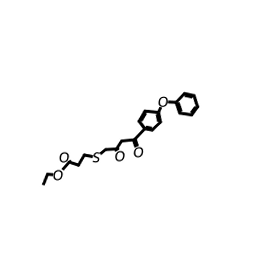 CCOC(=O)CCSCC(=O)CC(=O)c1ccc(Oc2ccccc2)cc1